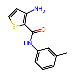 Cc1cccc(NC(=O)c2sccc2N)c1